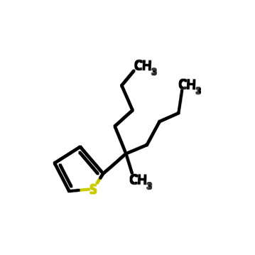 CCCCC(C)(CCCC)c1cccs1